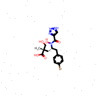 C[C@@](CO)(C[C@@H](Cc1ccc(Br)cc1)N(O)C(=O)c1c[nH]nn1)C(=O)O